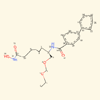 CCOCOC[C@@H](CCCCC(=O)NO)NC(=O)c1ccc(-c2ccccc2)cc1